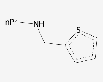 [CH2]CCNCc1cccs1